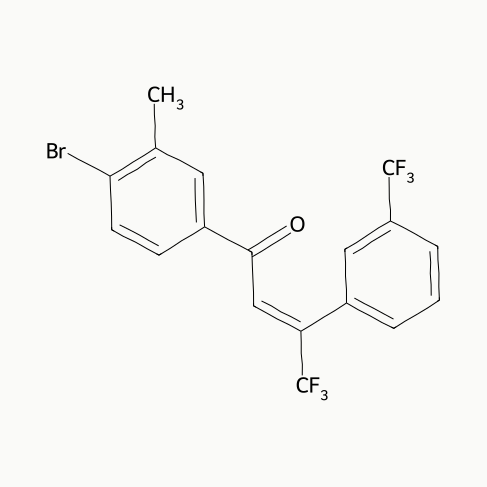 Cc1cc(C(=O)C=C(c2cccc(C(F)(F)F)c2)C(F)(F)F)ccc1Br